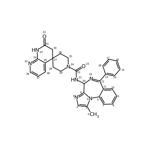 Cc1cnc2n1-c1ccccc1C(c1ccccc1)=NC2NC(=O)N1CCC2(CC1)CC(=O)Nc1ncccc12